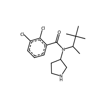 CC(N(C(=O)c1cccc(Cl)c1Cl)C1CCNC1)C(C)(C)C